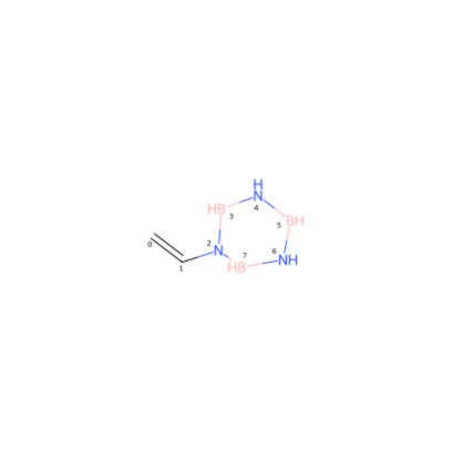 C=CN1BNBNB1